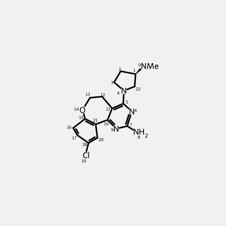 CN[C@@H]1CCN(c2nc(N)nc3c2CCOc2ccc(Cl)cc2-3)C1